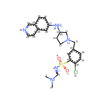 CN(C)/C=N/S(=O)(=O)c1cc(CN2CC[C@@H](Nc3ccc4cnccc4c3)C2)ccc1Cl